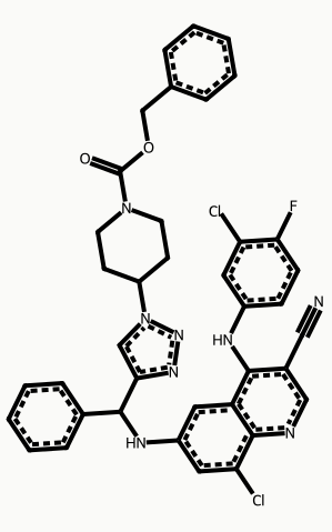 N#Cc1cnc2c(Cl)cc(NC(c3ccccc3)c3cn(C4CCN(C(=O)OCc5ccccc5)CC4)nn3)cc2c1Nc1ccc(F)c(Cl)c1